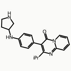 CC(C)c1nc2ccccn2c(=O)c1-c1ccc(NC2CCNC2)cc1